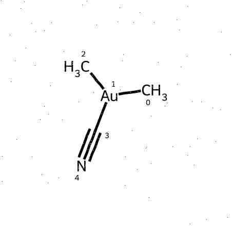 [CH3][Au]([CH3])[C]#N